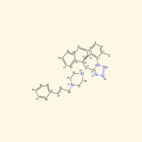 Cc1cccc(C)c1-n1nnnc1[C@@H](c1cccc2ccccc12)N1CCN(C/C=C/c2ccccc2)CC1